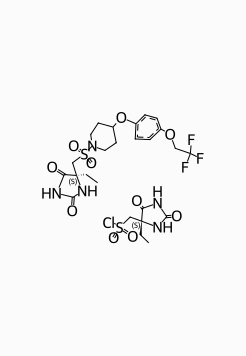 CC[C@]1(CS(=O)(=O)Cl)NC(=O)NC1=O.CC[C@]1(CS(=O)(=O)N2CCC(Oc3ccc(OCC(F)(F)F)cc3)CC2)NC(=O)NC1=O